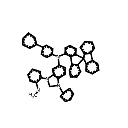 C=Nc1ccccc1N1CN(c2ccccc2)c2ccc(N(c3ccc(-c4ccccc4)cc3)c3cccc4c3-c3ccccc3C43c4ccccc4-c4ccccc43)cc21